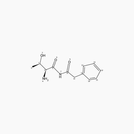 C[C@@H](O)[C@H](N)C(=O)NC(=O)Cc1ccccc1